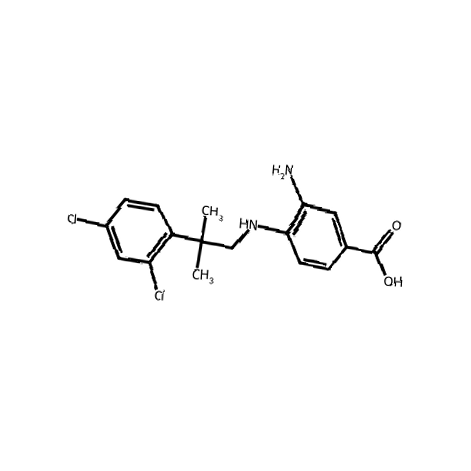 CC(C)(CNc1ccc(C(=O)O)cc1N)c1ccc(Cl)cc1Cl